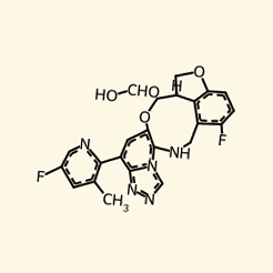 Cc1cc(F)cnc1-c1cc2c(n3cnnc13)NCc1c(F)ccc3c1[C@@H](CO3)CO2.O=CO